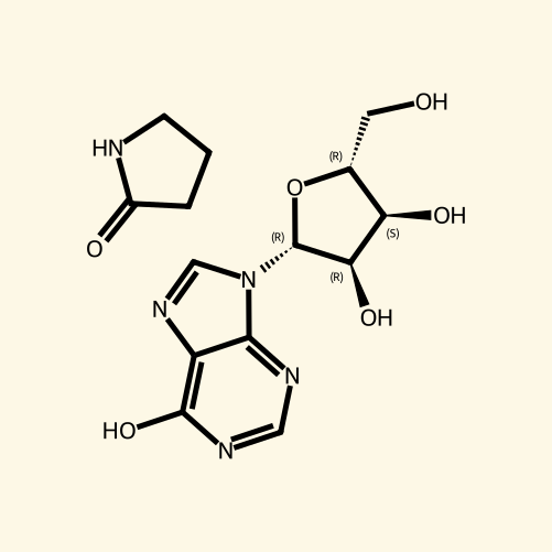 O=C1CCCN1.OC[C@H]1O[C@@H](n2cnc3c(O)ncnc32)[C@H](O)[C@@H]1O